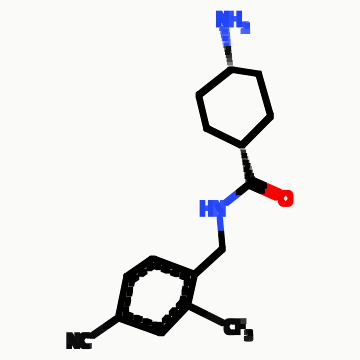 N#Cc1ccc(CNC(=O)[C@H]2CC[C@@H](N)CC2)c(C(F)(F)F)c1